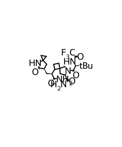 CC(C)(C)[C@H](NC(=O)C(F)(F)F)C(=O)N1CC2(CCC2[C@H](C[C@@H]2CC3(CC3)NC2=O)C(N)=O)CC1C(N)=O